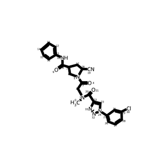 CN(CC(=O)N1CC(C(=O)Nc2ccccc2)CC1C#N)C(=O)c1cn(-c2cccc(Cl)c2)nn1